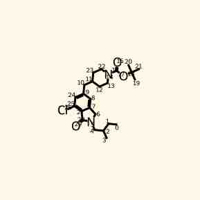 CCC(C)CN1Cc2cc(CC3CCN(C(=O)OC(C)(C)C)CC3)cc(Cl)c2C1=O